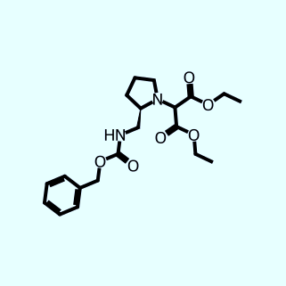 CCOC(=O)C(C(=O)OCC)N1CCC[C@@H]1CNC(=O)OCc1ccccc1